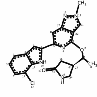 CC(Oc1nc(-c2cc3cccc(Cl)c3[nH]2)cc2nn(C)cc12)[C@H]1CNC(=O)C1